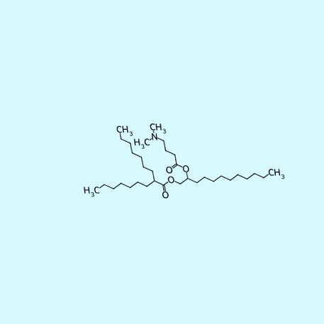 CCCCCCCCCCC(COC(=O)C(CCCCCCC)CCCCCCC)OC(=O)CCCN(C)C